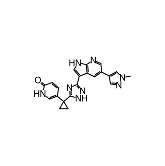 Cn1cc(-c2cnc3[nH]cc(-c4n[nH]c(C5(c6ccc(=O)[nH]c6)CC5)n4)c3c2)cn1